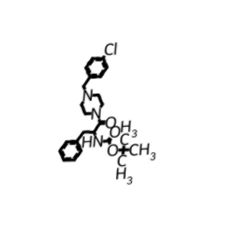 CC(C)(C)OC(=O)NC(Cc1ccccc1)C(=O)N1CCN(Cc2ccc(Cl)cc2)CC1